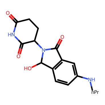 CCCNc1ccc2c(c1)C(=O)N(C1CCC(=O)NC1=O)C2O